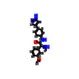 CN[C@H](C(=O)Nc1ccc(-c2cn[nH]c2)cc1)c1cccc(OC)c1